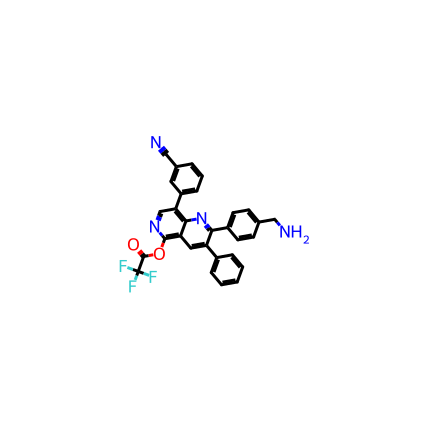 N#Cc1cccc(-c2cnc(OC(=O)C(F)(F)F)c3cc(-c4ccccc4)c(-c4ccc(CN)cc4)nc23)c1